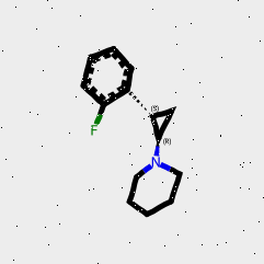 Fc1ccccc1[C@@H]1C[C@H]1N1CCCCC1